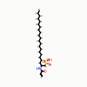 C=CC(=O)NC(CCCCCCCCCCCCCCCCCCCC)CS(=O)(=O)O